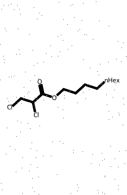 CCCCCCCCCCOC(=O)C(Cl)CCl